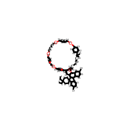 CCC1(CC)CCC2(CC1)c1cc(C)ccc1-c1c2c2c(c3cc(C)ccc13)OC1(C=C2)c2ccc(cc2)Oc2ccc(cc2)OCCCCOc2ccc(cc2)Oc2ccc(cc2)C(C)(C)CCCCC1(C)C